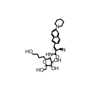 N#C/C(=C\c1ccc2cc(N3CCCCC3)ccc2c1)C(=O)N[C@H]1C(CCCCO)O[C@H](CO)[C@@H](O)[C@@H]1O